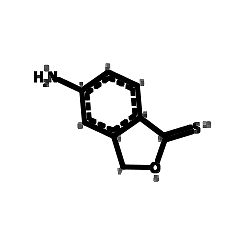 Nc1ccc2c(c1)COC2=S